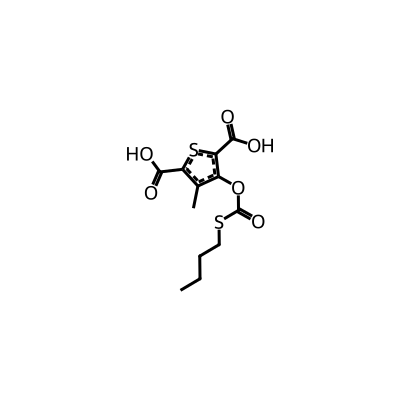 CCCCSC(=O)Oc1c(C(=O)O)sc(C(=O)O)c1C